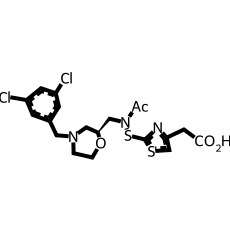 CC(=O)N(C[C@@H]1CN(Cc2cc(Cl)cc(Cl)c2)CCO1)Sc1nc(CC(=O)O)cs1